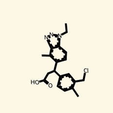 CCn1nnc2c(C)c(C(CC(=O)O)c3ccc(C)c(CCl)c3)ccc21